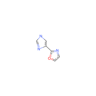 C1=NC(c2ncco2)=C[N]1